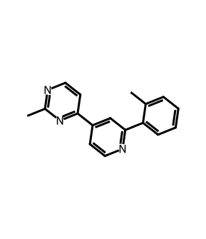 Cc1nccc(-c2ccnc(-c3ccccc3C)c2)n1